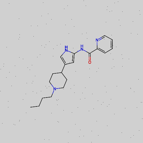 CCCCN1CCC(c2c[nH]c(NC(=O)c3ccccn3)c2)CC1